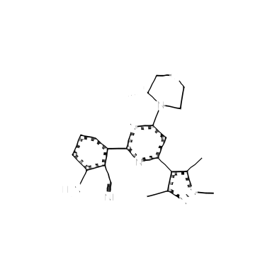 Cc1nn(C)c(C)c1-c1cc(N2CCOC[C@H]2C)nc(-c2cccc(N)c2C=N)n1